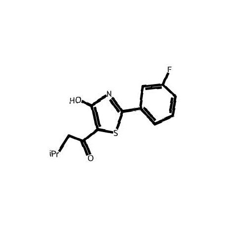 CC(C)CC(=O)c1sc(-c2cccc(F)c2)nc1O